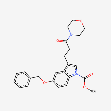 CC(C)(C)OC(=O)n1cc(CCC(=O)N2CCOCC2)c2cc(OCc3ccccc3)ccc21